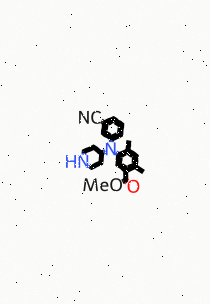 COC(=O)c1cc(N(c2cccc(C#N)c2)C2CCNCC2)c(C)cc1C